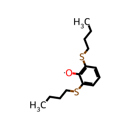 CCCCSc1cccc(SCCCC)c1[O]